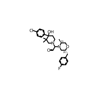 C[C@H]1CO[C@H](Cc2ccc(F)cc2)CN1C(C=O)N1CCC(O)(c2ccc(Cl)cc2)C(C)(C)C1